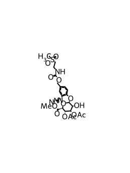 COC(=O)[C@H]1O[C@@H](Oc2ccc(COC(=O)NCCS(C)(=O)=O)cc2N=[N+]=[N-])[C@H](O)[C@@H](OC(C)=O)[C@@H]1OC(C)=O